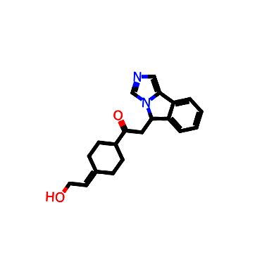 O=C(CC1c2ccccc2-c2cncn21)C1CCC(=CCO)CC1